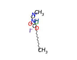 CCCCCCCCCCCCCCOc1ccc(C(=O)NCc2cc[n+](CC)cc2)c(Cl)c1.[I-]